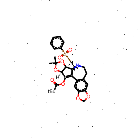 CC1(C)O[C@@H]2C(OC(=O)C(C)(C)C)=C3c4cc5c(cc4CCN4C[C@H](S(=O)(=O)c6ccccc6)C[C@]34[C@@H]2O1)OCO5